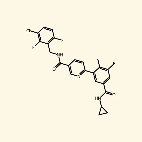 Cc1c(F)cc(C(=O)NC2CC2)cc1-c1ccc(C(=O)NCc2c(F)ccc(Cl)c2F)cn1